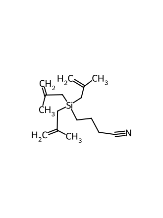 C=C(C)C[Si](CCCC#N)(CC(=C)C)CC(=C)C